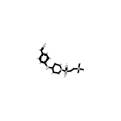 C[Si](C)(C)CCS(=O)(=O)N1CCC(Oc2ccc(C=O)cc2)CC1